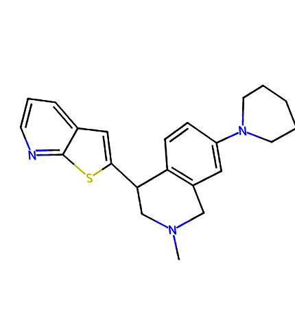 CN1Cc2cc(N3CCCCC3)ccc2C(c2cc3cccnc3s2)C1